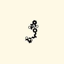 CC(=O)OC(C)c1ccccc1C(=O)NC1CCC(CC=C(C)C=C[C@@H]2C[C@]3(CO3)CC(C)(C)O2)CC1